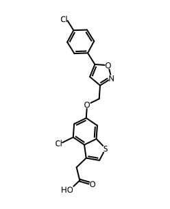 O=C(O)Cc1csc2cc(OCc3cc(-c4ccc(Cl)cc4)on3)cc(Cl)c12